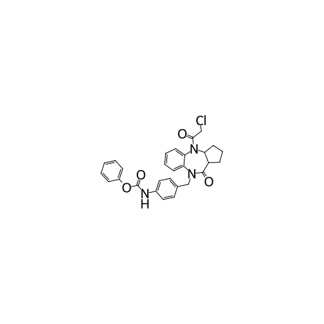 O=C(Nc1ccc(CN2C(=O)C3CCCC3N(C(=O)CCl)c3ccccc32)cc1)Oc1ccccc1